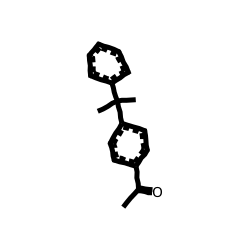 CC(=O)c1ccc(C(C)(C)c2ccccc2)cc1